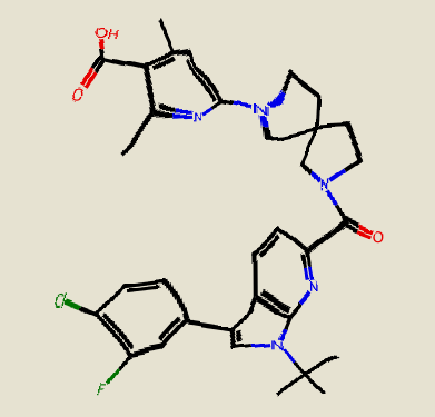 Cc1cc(N2CCC3(CCN(C(=O)c4ccc5c(-c6ccc(Cl)c(F)c6)cn(C(C)(C)C)c5n4)C3)C2)nc(C)c1C(=O)O